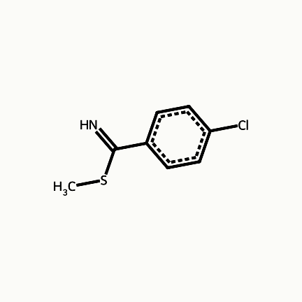 CSC(=N)c1ccc(Cl)cc1